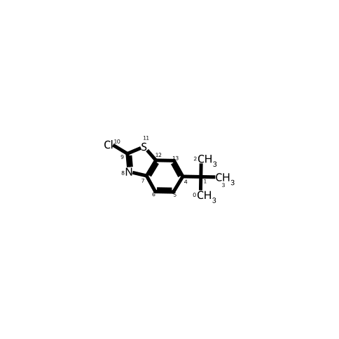 CC(C)(C)c1ccc2nc(Cl)sc2c1